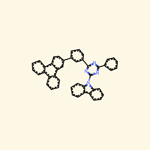 c1ccc(-c2nc(-c3cccc(-c4ccc5c6ccccc6c6ccccc6c5c4)c3)nc(-n3c4ccccc4c4ccccc43)n2)cc1